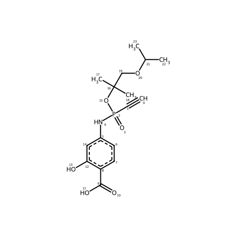 C#CP(=O)(Nc1ccc(C(=O)O)c(O)c1)OC(C)(C)COC(C)C